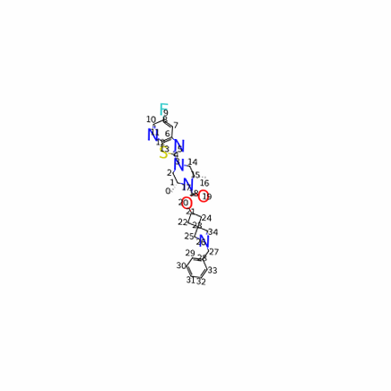 C[C@@H]1CN(c2nc3cc(F)cnc3s2)C[C@H](C)N1C(=O)OC1CC2(C1)CN(Cc1ccccc1)C2